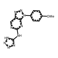 COc1ccc(-n2nnc3cnc(Nc4nnn[nH]4)nc32)cc1